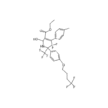 CCOC(=O)C1=C(c2ccc(C)cc2)C(F)(F)C(c2ccc(OCCCC(F)(F)F)cc2)(C(F)(F)F)NC1O